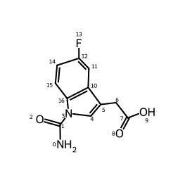 NC(=O)n1cc(CC(=O)O)c2cc(F)ccc21